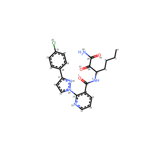 CCCCC(NC(=O)c1cccnc1-n1ccc(-c2ccc(Cl)cc2)n1)C(=O)C(N)=O